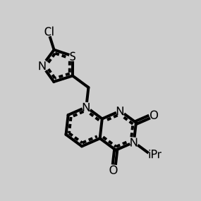 CC(C)n1c(=O)nc2n(Cc3cnc(Cl)s3)cccc-2c1=O